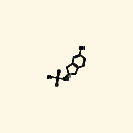 CC(C)S(=O)(=O)N[C@@H]1Cc2ccc(O)cc2C1